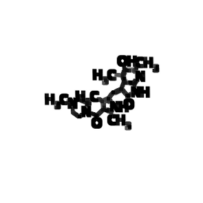 Cc1nc2c(c(C)c1O)C(=Cc1[nH]c(C)c(C(=O)N3CCN(C)CC3)c1C)C(=O)N2